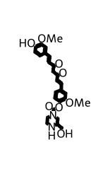 COc1cc(/C=C/C(=O)CC(=O)/C=C/c2ccc(OC(=O)N3CCNC(CO)C3)c(OC)c2)ccc1O